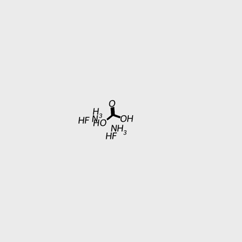 F.F.N.N.O=C(O)O